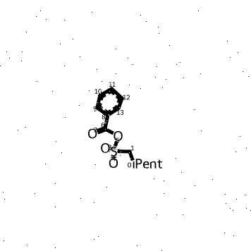 CCCC(C)CS(=O)(=O)OC(=O)c1ccccc1